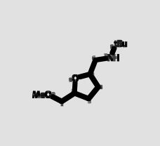 COCC1CCC(CNC(C)(C)C)O1